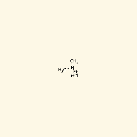 Cl.[CH2]CN(C)C